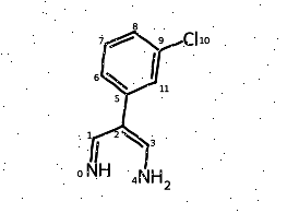 N=C/C(=C\N)c1cccc(Cl)c1